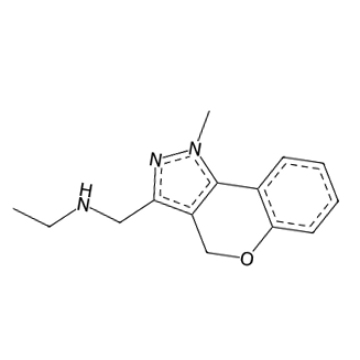 CCNCc1nn(C)c2c1COc1ccccc1-2